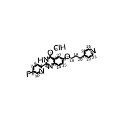 Cl.O=c1[nH]c(-c2ccc(F)cn2)nc2ccc(OCCCc3ccncc3)cc12